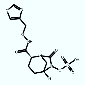 O=C(NOCc1cocn1)[C@@H]1CC[C@@H]2CN1C(=O)N2OS(=O)(=O)O